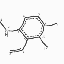 C=Cc1c(NC)ccc(C)c1C